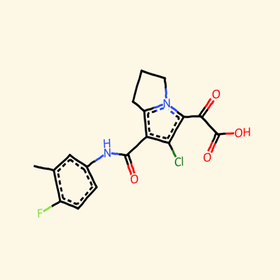 Cc1cc(NC(=O)c2c(Cl)c(C(=O)C(=O)O)n3c2CCC3)ccc1F